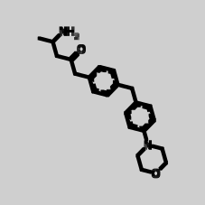 CC(N)CC(=O)Cc1ccc(Cc2ccc(N3CCOCC3)cc2)cc1